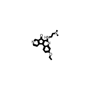 CCOc1ccc2c3c(c(NCCN(C)C)nc2c1)C(=O)c1cnccc1-3